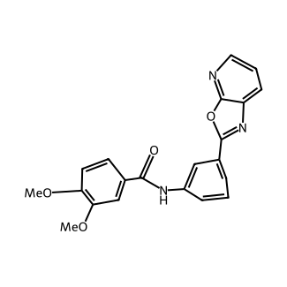 COc1ccc(C(=O)Nc2cccc(-c3nc4cccnc4o3)c2)cc1OC